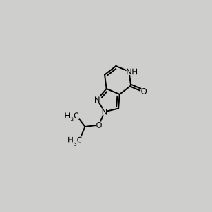 CC(C)On1cc2c(=O)[nH]ccc2n1